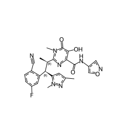 Cc1cc([C@@H](c2cc(F)ccc2C#N)[C@@H](C)c2nc(C(=O)Nc3cnoc3)c(O)c(=O)n2C)n(C)n1